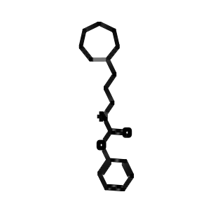 O=C([N]CCCC1CCCCCC1)Oc1ccccc1